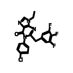 CCn1cnc2c(=O)n(-c3ccc(Cl)cc3)c(Cc3cc(F)c(F)c(F)c3)nc21